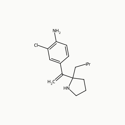 C=C(c1ccc(N)c(Cl)c1)C1(CC(C)C)CCCN1